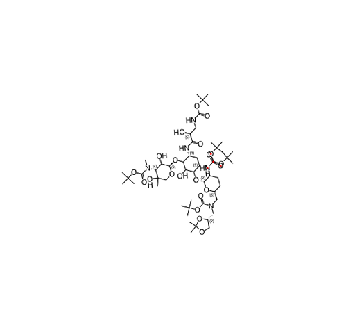 CN(C(=O)OC(C)(C)C)[C@@H]1C(O)[C@@H](OC2C(O)C(O[C@H]3O[C@H](CN(C[C@@H]4COC(C)(C)O4)C(=O)OC(C)(C)C)CCC3NC(=O)OC(C)(C)C)[C@@H](NC(=O)OC(C)(C)C)C[C@H]2NC(=O)[C@@H](O)CNC(=O)OC(C)(C)C)OCC1(C)O